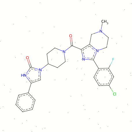 CN1CCn2c(-c3ccc(Cl)cc3F)nc(C(=O)N3CCC(n4cc(-c5ccccc5)[nH]c4=O)CC3)c2C1